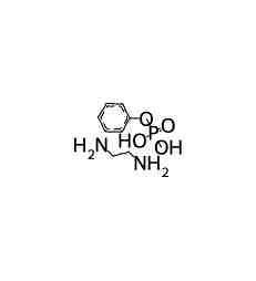 NCCN.O=P(O)(O)Oc1ccccc1